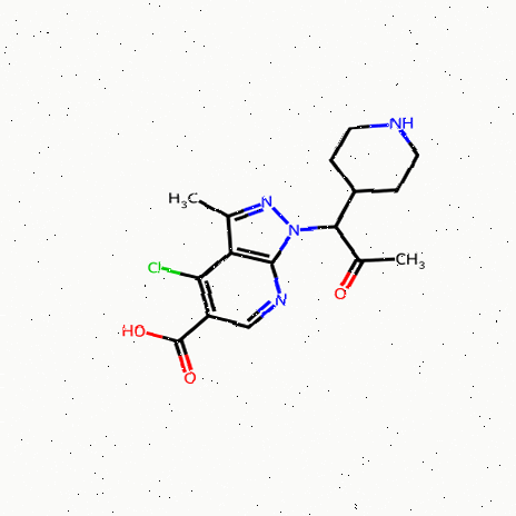 CC(=O)C(C1CCNCC1)n1nc(C)c2c(Cl)c(C(=O)O)cnc21